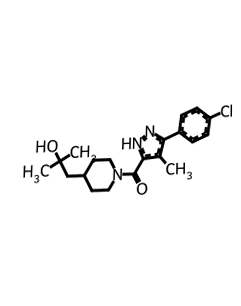 Cc1c(-c2ccc(Cl)cc2)n[nH]c1C(=O)N1CCC(CC(C)(C)O)CC1